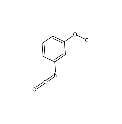 O=C=Nc1cccc(OCl)c1